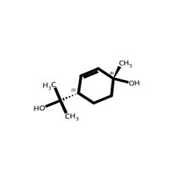 CC(C)(O)[C@@H]1C=C[C@](C)(O)CC1